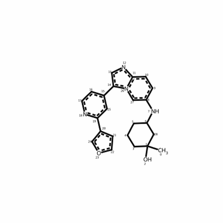 CC1(O)CCCC(Nc2ccc3ncc(-c4ccnc(-c5ccoc5)c4)n3c2)C1